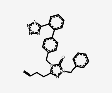 C=CCCc1nn(Cc2ccccc2)c(=O)n1Cc1ccc(-c2ccccc2-c2nnn[nH]2)cc1